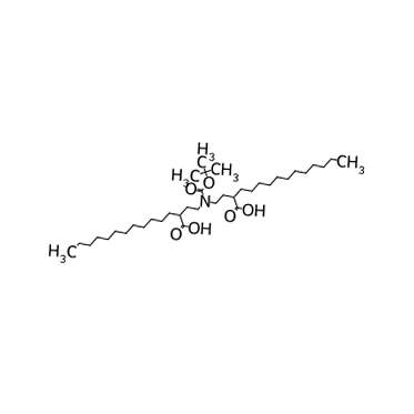 CCCCCCCCCCCCC(CCN(CCC(CCCCCCCCCCCC)C(=O)O)C(=O)OC(C)(C)C)C(=O)O